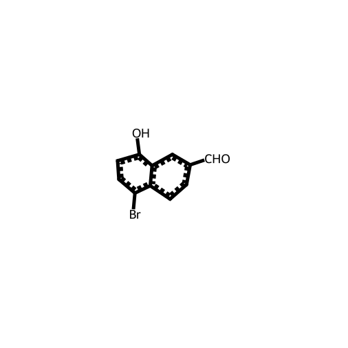 O=Cc1ccc2c(Br)ccc(O)c2c1